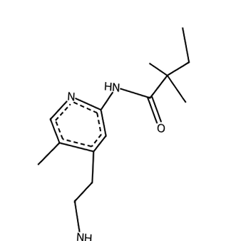 CCC(C)(C)C(=O)Nc1cc(CCN)c(C)cn1